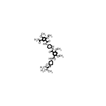 COc1cc(OC)c(C(=O)N[C@H]2CC[C@@H](NC(=O)c3cc(C(=O)N[C@H]4CC[C@H](N=C(N(C)C)N(C)C)CC4)c(OC)cc3OC)CC2)cc1C(N)=O